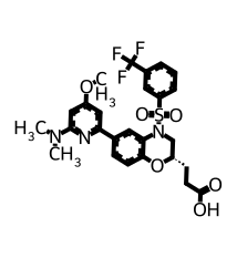 COc1cc(-c2ccc3c(c2)N(S(=O)(=O)c2cccc(C(F)(F)F)c2)C[C@H](CCC(=O)O)O3)nc(N(C)C)c1